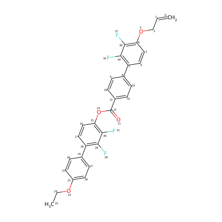 C=CCOc1ccc(-c2ccc(C(=O)Oc3ccc(-c4ccc(OCC)cc4)c(F)c3F)cc2)c(F)c1F